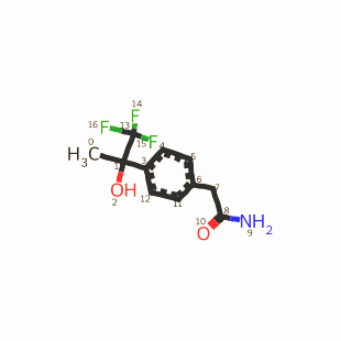 CC(O)(c1ccc(CC(N)=O)cc1)C(F)(F)F